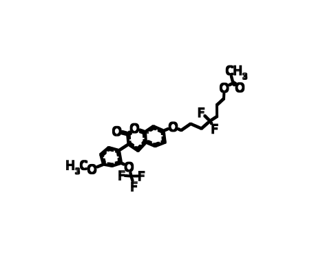 COc1ccc(-c2cc3ccc(OCCCC(F)(F)CCCOC(C)=O)cc3oc2=O)c(OC(F)(F)F)c1